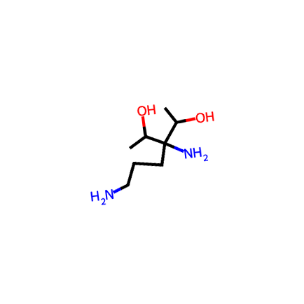 CC(O)C(N)(CCCN)C(C)O